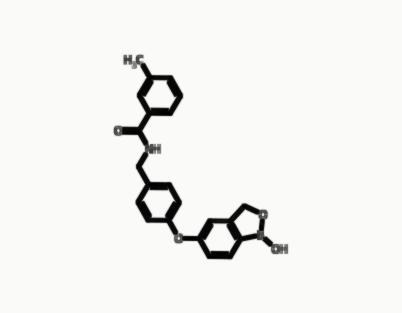 Cc1cccc(C(=O)NCc2ccc(Oc3ccc4c(c3)COB4O)cc2)c1